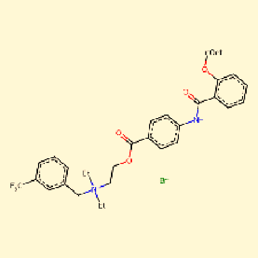 CCCCCCCCOc1ccccc1C(=O)Nc1ccc(C(=O)OCC[N+](CC)(CC)Cc2cccc(C(F)(F)F)c2)cc1.[Br-]